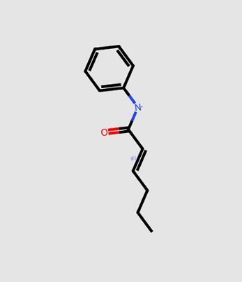 CCC/C=C/C(=O)[N]c1ccccc1